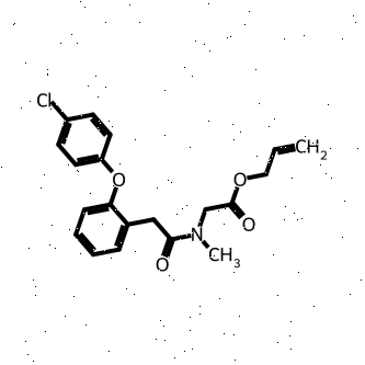 C=CCOC(=O)CN(C)C(=O)Cc1ccccc1Oc1ccc(Cl)cc1